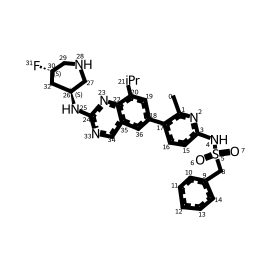 Cc1nc(NS(=O)(=O)Cc2ccccc2)ccc1-c1cc(C(C)C)c2nc(N[C@@H]3CNC[C@@H](F)C3)ncc2c1